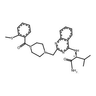 CSc1ccccc1C(=O)N1CCN(Cc2nc(N[C@H](C(N)=O)C(C)C)c3ccccc3n2)CC1